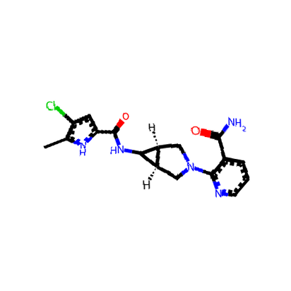 Cc1[nH]c(C(=O)NC2[C@H]3CN(c4ncccc4C(N)=O)C[C@@H]23)cc1Cl